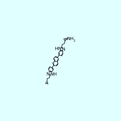 N[C@@H]1CC1CCc1nc2ccc(-c3ccc4cc(-c5ccc6nc(CCC7CC7)[nH]c6c5)ccc4c3)cc2[nH]1